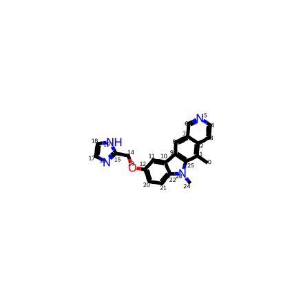 Cc1c2ccncc2cc2c3cc(OCc4ncc[nH]4)ccc3n(C)c12